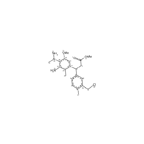 COC(=O)CC(c1ccc(C)c(CCl)c1)c1cc(OC)c(N(C)N)c(N)c1C